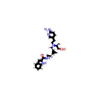 C[C@@H](CO)N(CCc1ccc(N)nc1)C[C@H]1C[C@@H]1CCNC(=O)c1cc2ccccc2[nH]1